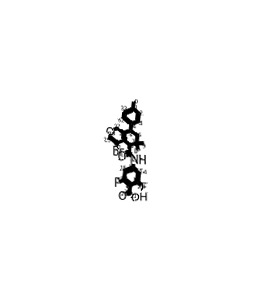 Cc1ccc(C2CC(C)(C)C(C(=O)Nc3cc(F)c(C(=O)O)c(F)c3)C3=C2COC=C3Br)cc1